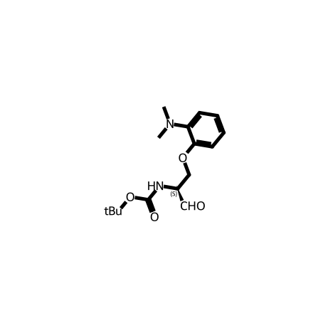 CN(C)c1ccccc1OC[C@@H](C=O)NC(=O)OC(C)(C)C